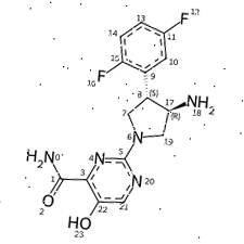 NC(=O)c1nc(N2C[C@H](c3cc(F)ccc3F)[C@@H](N)C2)ncc1O